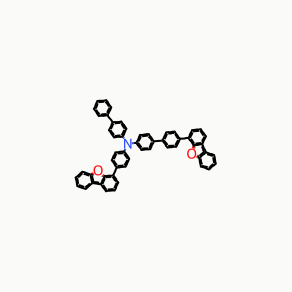 c1ccc(-c2ccc(N(c3ccc(-c4ccc(-c5cccc6c5oc5ccccc56)cc4)cc3)c3ccc(-c4cccc5c4oc4ccccc45)cc3)cc2)cc1